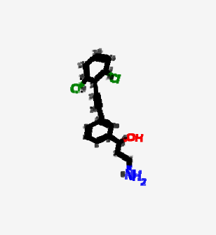 NCCC(O)c1cccc(C#Cc2c(Cl)cccc2Cl)c1